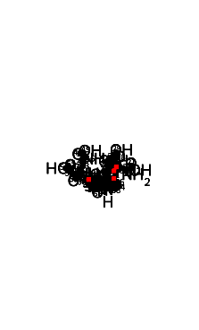 COc1ccc([C@]23C[C@]4(SSC[C@H](NC(=O)CC[C@H](N)C(=O)O)C(=O)NCC(=O)O)C(=O)N(C)[C@@](C)(SSC[C@H](NC(=O)CC[C@H](N)C(=O)O)C(=O)NCC(=O)O)C(=O)N4[C@H]2Nc2ccccc23)cc1